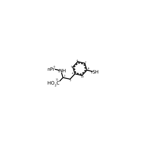 CCCNC(Cc1cccc(S)c1)C(=O)O